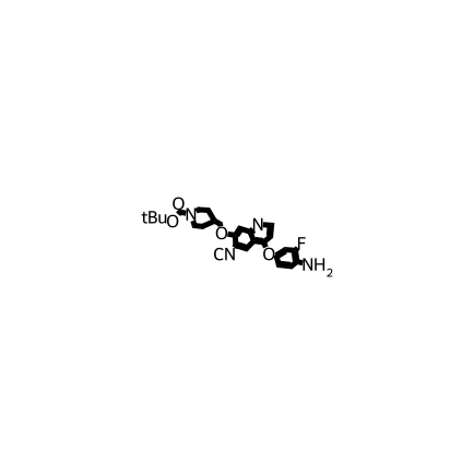 [C-]#[N+]c1cc2c(Oc3ccc(N)c(F)c3)ccnc2cc1OCC1CCN(C(=O)OC(C)(C)C)CC1